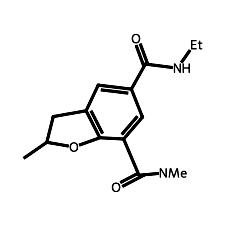 CCNC(=O)c1cc2c(c(C(=O)NC)c1)OC(C)C2